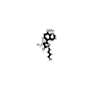 COc1ccc(C2=NN(CCCCBr)C(=O)C2(C)C)c2cccnc12